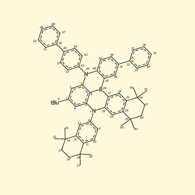 CC(C)(C)c1cc2c3c(c1)N(c1ccc4c(c1)C(C)(C)CCC4(C)C)c1cc4c(cc1B3c1cc(-c3ccccc3)ccc1N2c1ccc(-c2ccccc2)cc1)C(C)(C)CCC4(C)C